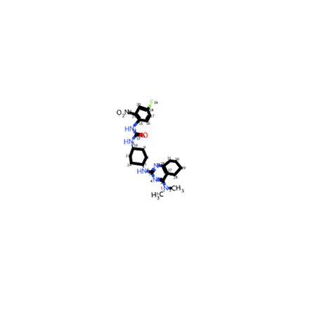 CN(C)c1nc(N[C@H]2CC[C@@H](NC(=O)Nc3ccc(F)cc3[N+](=O)[O-])CC2)nc2c1CCCC2